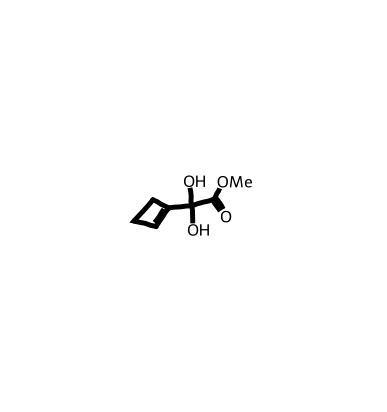 COC(=O)C(O)(O)C1=CCC1